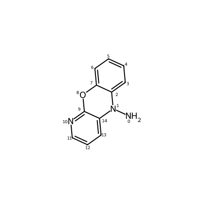 NN1c2ccccc2Oc2ncccc21